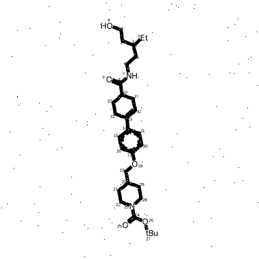 CCC(CCO)CCNC(=O)C1CC=C(c2ccc(OCC3CCN(C(=O)OC(C)(C)C)CC3)cc2)CC1